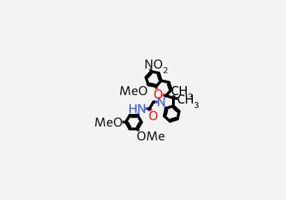 COc1cc(NC(=O)CN2c3ccccc3C(C)(C)C23C=Cc2cc([N+](=O)[O-])cc(OC)c2O3)cc(OC)c1